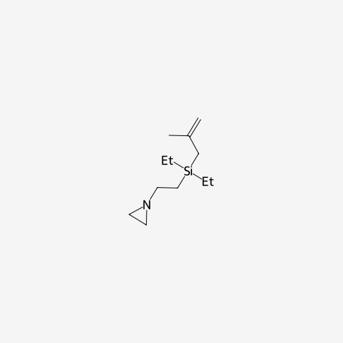 C=C(C)C[Si](CC)(CC)CCN1CC1